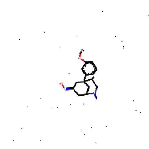 CC(C)Oc1cccc(C23CC(=NO)CC(C2)N(C)CC3C)c1